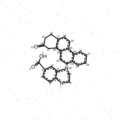 O=C(O)c1ccc2nccnc2c1.O=C1CCc2ccc3c(ccc4ccccc43)c2C1